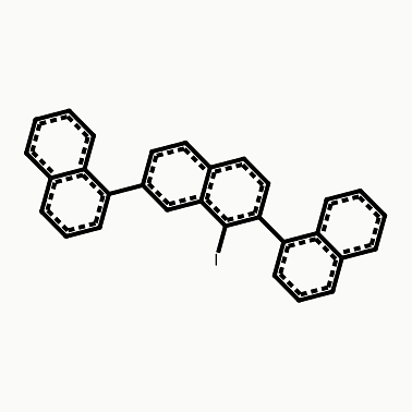 Ic1c(-c2cccc3ccccc23)ccc2ccc(-c3cccc4ccccc34)cc12